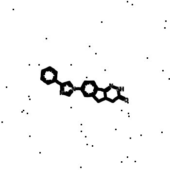 O=C1CC2Cc3cc(-n4cnc(-c5ccccc5)c4)ccc3C2=NN1